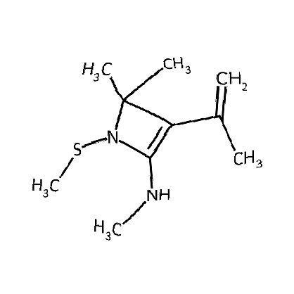 C=C(C)C1=C(NC)N(SC)C1(C)C